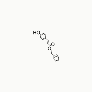 O=C(/C=C/c1ccc(O)cc1)OCCC1CC2C=CC1C2